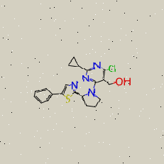 OCc1c(Cl)nc(C2CC2)nc1N1CCC[C@H]1c1ncc(-c2ccccc2)s1